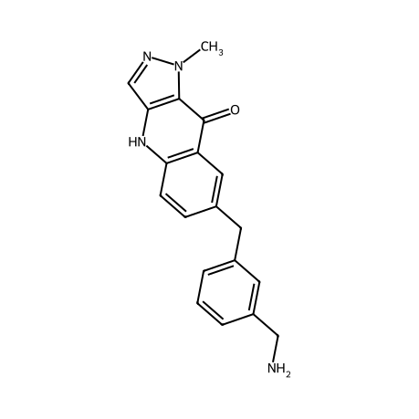 Cn1ncc2[nH]c3ccc(Cc4cccc(CN)c4)cc3c(=O)c21